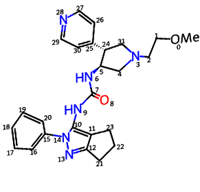 COCCN1C[C@@H](NC(=O)Nc2c3c(nn2-c2ccccc2)CCC3)[C@H](c2ccncc2)C1